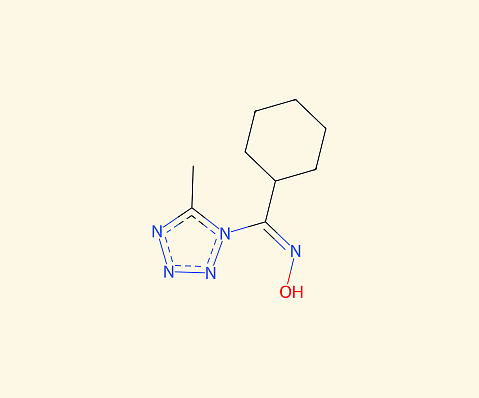 Cc1nnnn1/C(=N\O)C1CCCCC1